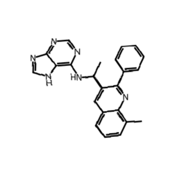 Cc1cccc2cc(C(C)Nc3ncnc4nc[nH]c34)c(-c3ccccc3)nc12